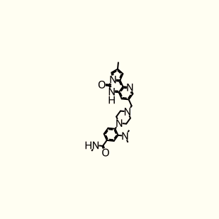 CNC(=O)c1ccc(N2CCN(Cc3cnc4c(c3)[nH]c(=O)n3cc(C)cc43)CC2)c(N(C)C)c1